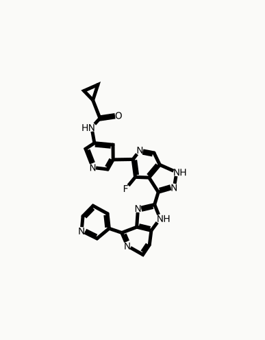 O=C(Nc1cncc(-c2ncc3[nH]nc(-c4nc5c(-c6cccnc6)nccc5[nH]4)c3c2F)c1)C1CC1